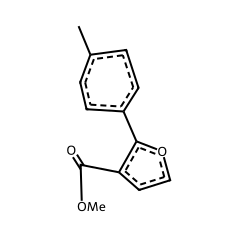 COC(=O)c1ccoc1-c1ccc(C)cc1